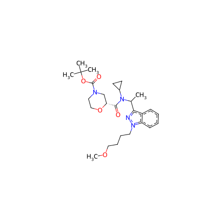 COCCCCn1nc(C(C)N(C(=O)[C@H]2CN(C(=O)OC(C)(C)C)CCO2)C2CC2)c2ccccc21